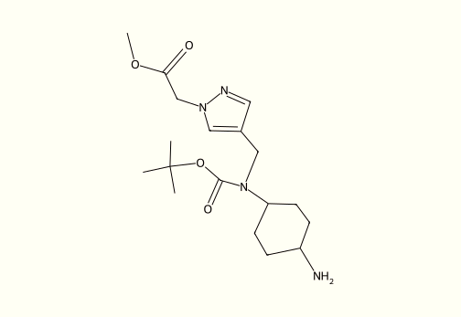 COC(=O)Cn1cc(CN(C(=O)OC(C)(C)C)C2CCC(N)CC2)cn1